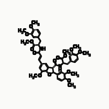 COC(=O)C(Cc1ccc(OC)c(OC)c1)NC(=O)C=Cc1cc(OC)c2c(c1)C(C(=O)NC(Cc1ccc(OC)c(OC)c1)C(=O)OC)C(c1ccc(OC)c(OC)c1)O2